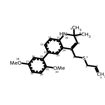 C=CCSCC1=CC(C)(C)Nc2ccc(-c3cc(OC)ccc3OC)cc21